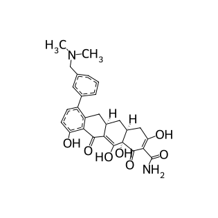 CN(C)Cc1cccc(-c2ccc(O)c3c2C[C@H]2C[C@H]4CC(O)=C(C(N)=O)C(=O)[C@@]4(O)C(O)=C2C3=O)c1